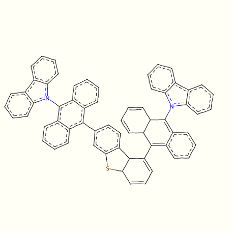 C1=CC2Sc3cc(-c4c5ccccc5c(-n5c6ccccc6c6ccccc65)c5ccccc45)ccc3C2C(C2=c3ccccc3=C(n3c4ccccc4c4ccccc43)C3C=CC=CC23)=C1